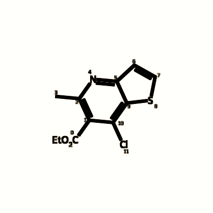 CCOC(=O)c1c(C)nc2ccsc2c1Cl